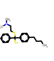 CCCCc1ccc(C(S)(SCCN(C)C)c2ccccc2)cc1